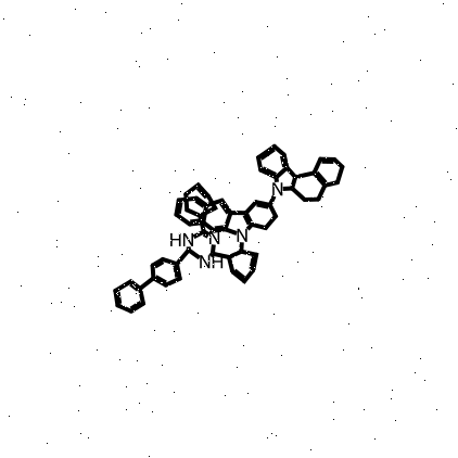 C1=CC(C2N=C(C3CC=CCC3)NC(c3ccc(-c4ccccc4)cc3)N2)C(n2c3c(c4cc5ccccc5cc42)C=C(N2c4ccccc4C4C5=C(CCC=C5)CCC42)CC3)C=C1